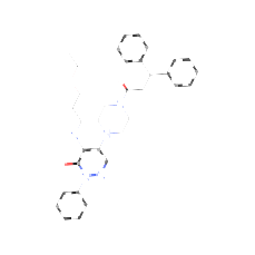 CCOCCCNc1c(N2CCN(C(=O)CC(c3ccccc3)c3ccccc3)CC2)cnn(-c2ccccc2)c1=O